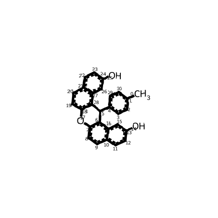 Cc1ccc(C2c3c(ccc4ccc(O)cc34)Oc3ccc4ccc(O)cc4c32)cc1